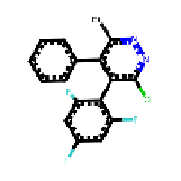 CCc1nnc(Cl)c(-c2c(F)cc(F)cc2F)c1-c1ccccc1